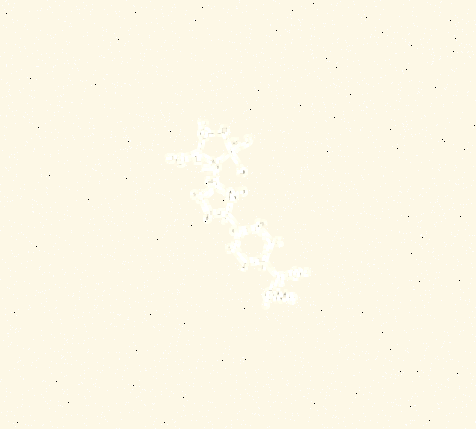 COC(=O)c1ccc(-c2csc(N3C(=O)OCC3(C)C)n2)cc1